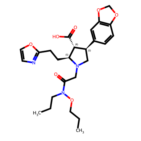 CCCON(CCC)C(=O)CN1C[C@H](c2ccc3c(c2)OCO3)[C@@H](C(=O)O)[C@@H]1CCc1ncco1